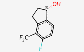 O[C@H]1CCc2c1ccc(F)c2C(F)(F)F